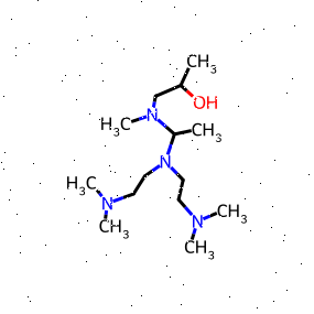 CC(O)CN(C)C(C)N(CCN(C)C)CCN(C)C